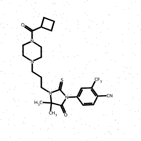 CC1(C)C(=O)N(c2ccc(C#N)c(C(F)(F)F)c2)C(=S)N1CCCN1CCN(C(=O)C2CCC2)CC1